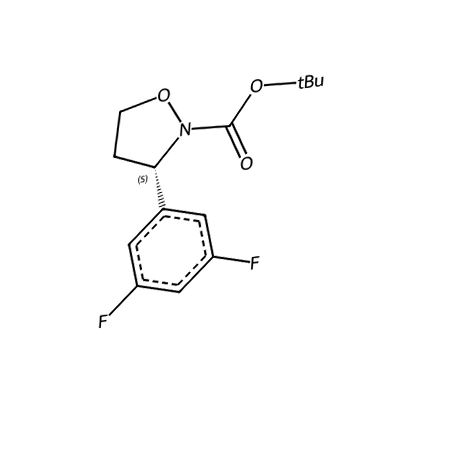 CC(C)(C)OC(=O)N1OCC[C@H]1c1cc(F)cc(F)c1